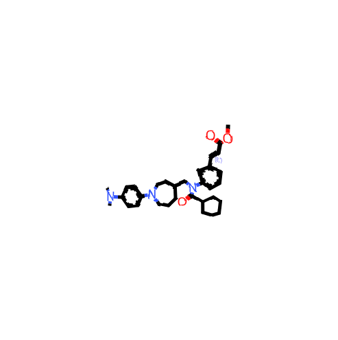 COC(=O)/C=C/c1cccc(N(CC2CCCN(c3ccc(N(C)C)cc3)CC2)C(=O)C2CCCCC2)c1